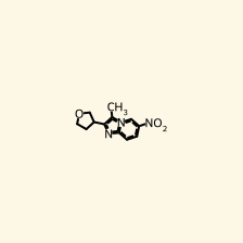 Cc1c(C2CCOC2)nc2ccc([N+](=O)[O-])cn12